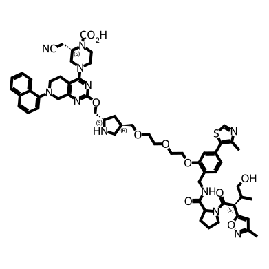 Cc1cc([C@@H](C(=O)N2CCCC2C(=O)NCc2ccc(-c3scnc3C)cc2OCCOCCOC[C@H]2CN[C@H](COc3nc4c(c(N5CCN(C(=O)O)[C@@H](CC#N)C5)n3)CCN(c3cccc5ccccc35)C4)C2)C(C)CO)on1